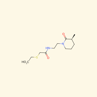 C[C@H]1CCCN(CCNC(=O)CSCC(=O)O)C1=O